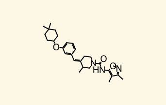 Cc1noc(NC(=O)N2CCC(=Cc3cccc(OC4CCC(C)(C)CC4)c3)C(C)C2)c1C